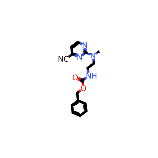 CN(CCNC(=O)OCc1ccccc1)c1nccc(C#N)n1